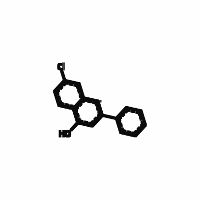 Oc1cc(-c2ccccc2)[c]c2cc(Cl)ccc12